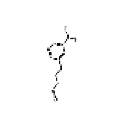 O=CCCCc1cccc(C(F)F)c1